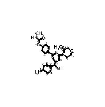 CNC(=O)Nc1ccc(-c2nc(C(S)c3ccc(N)cc3)cc(N3CCOC[C@@H]3C)n2)cc1